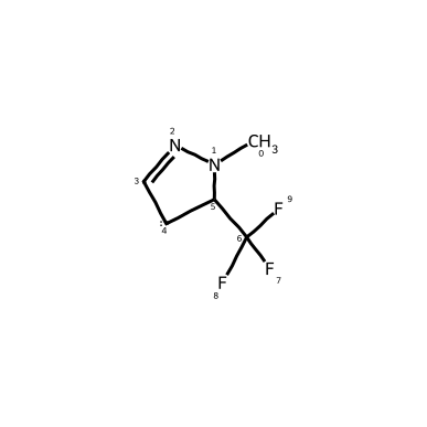 CN1N=C[C]C1C(F)(F)F